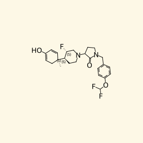 C[C@@]1([C@@H]2CCN(C3CCN(Cc4ccc(OC(F)F)cc4)C3=O)C[C@H]2F)C=CC(O)=CC1